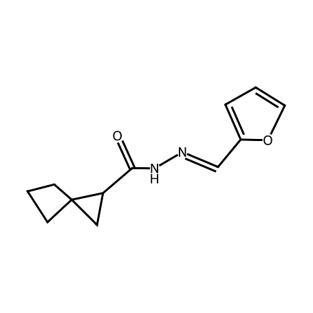 O=C(N/N=C/c1ccco1)C1CC12CCC2